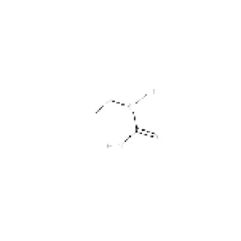 CCN(CC(=O)O)C(N)=O